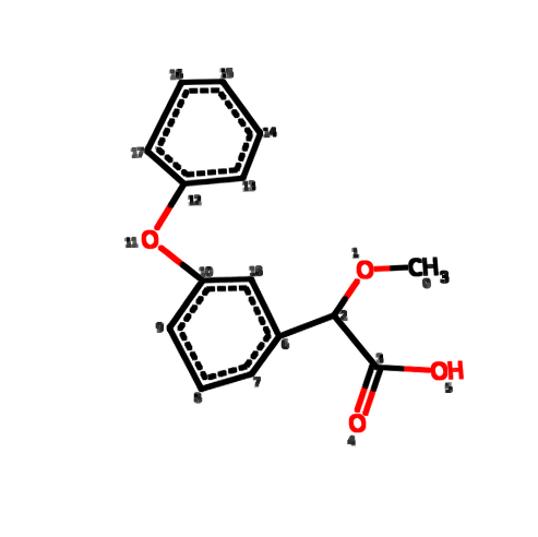 COC(C(=O)O)c1cccc(Oc2ccccc2)c1